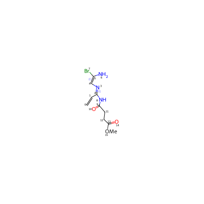 C=C/C(=N\C=C(/N)Br)NC(=O)CCC(=O)OC